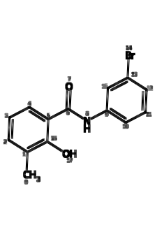 Cc1cccc(C(=O)Nc2cccc(Br)c2)c1O